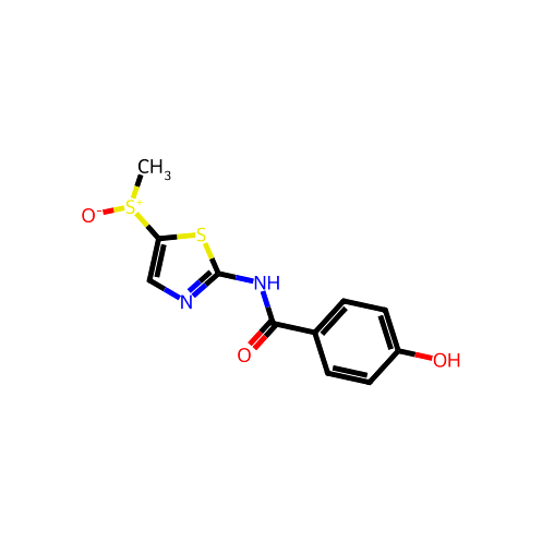 C[S+]([O-])c1cnc(NC(=O)c2ccc(O)cc2)s1